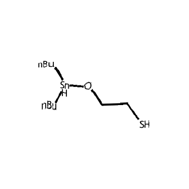 CCC[CH2][SnH]([CH2]CCC)[O]CCS